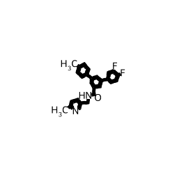 Cc1ccc(-c2cc(C(=O)NCc3ccc(C)nc3)cc(-c3ccc(F)c(F)c3)c2)cc1